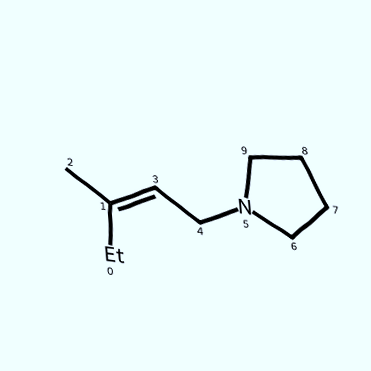 CC/C(C)=C\CN1CCCC1